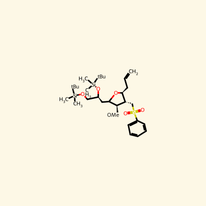 C=CC[C@@H]1OC(C[C@@H](CO[Si](C)(C)C(C)(C)C)O[Si](C)(C)C(C)(C)C)[C@H](OC)[C@H]1CS(=O)(=O)c1ccccc1